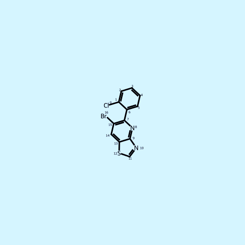 Clc1ccccc1-c1nc2ncsc2cc1Br